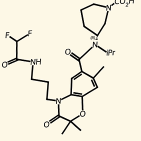 Cc1cc2c(cc1C(=O)N(C(C)C)[C@@H]1CCCN(C(=O)O)C1)N(CCCNC(=O)C(F)F)C(=O)C(C)(C)O2